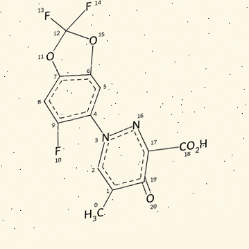 Cc1cn(-c2cc3c(cc2F)OC(F)(F)O3)nc(C(=O)O)c1=O